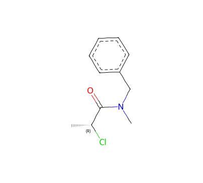 C[C@@H](Cl)C(=O)N(C)Cc1ccccc1